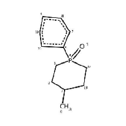 CC1CCP(=O)(c2ccccc2)CC1